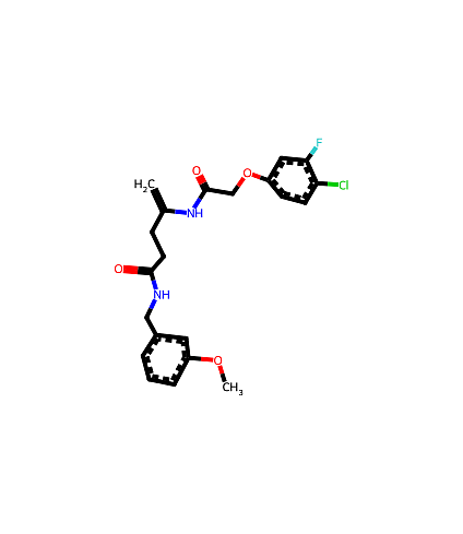 C=C(CCC(=O)NCc1cccc(OC)c1)NC(=O)COc1ccc(Cl)c(F)c1